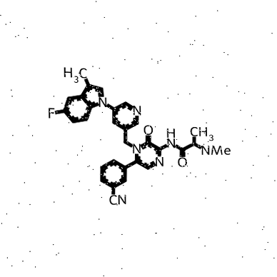 CNC(C)C(=O)Nc1ncc(-c2cccc(C#N)c2)n(Cc2cncc(-n3cc(C)c4cc(F)ccc43)c2)c1=O